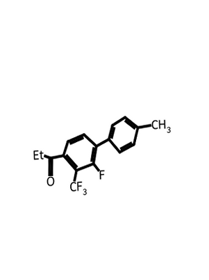 CCC(=O)c1ccc(-c2ccc(C)cc2)c(F)c1C(F)(F)F